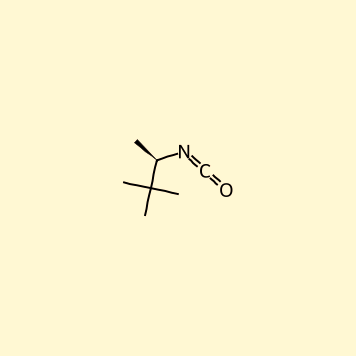 C[C@@H](N=C=O)C(C)(C)C